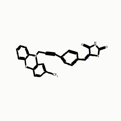 O=C1NC(=O)/C(=C\c2ccc(C#CCN3c4ccccc4Sc4ccc(C(F)(F)F)cc43)cc2)S1